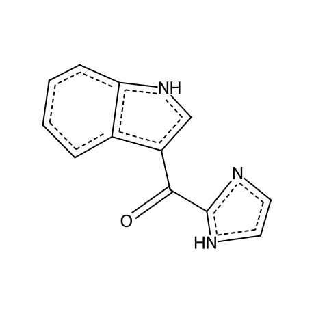 O=C(c1ncc[nH]1)c1c[nH]c2ccccc12